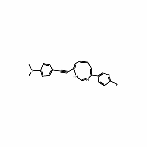 CN(C)c1ccc(C#Cc2ccccc(-c3ccc(F)nc3)nc[nH]2)cc1